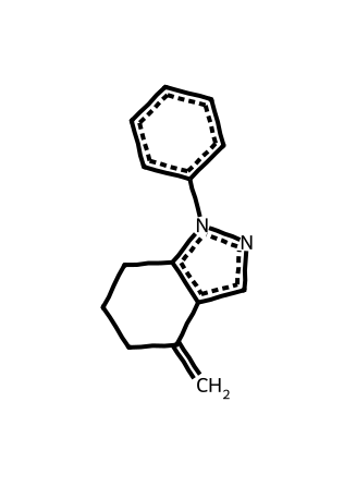 C=C1CCCc2c1cnn2-c1ccccc1